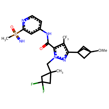 COC12CC(c3nn(CC4(C)CC(F)(F)C4)c(C(=O)Nc4ccnc(S(C)(=N)=O)c4)c3C(F)(F)F)(C1)C2